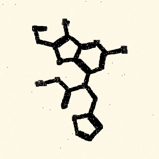 COCc1oc2c(N(Cc3cccs3)C(=O)OC(C)(C)C)cc(Cl)nc2c1Br